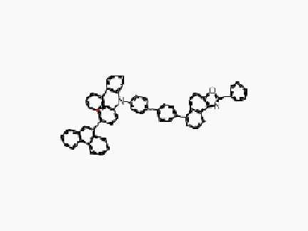 c1ccc(-c2nc3c(ccc4c(-c5ccc(-c6ccc(N(c7ccc(-c8cc9ccccc9c9ccccc89)cc7)c7ccccc7-c7ccccc7)cc6)cc5)cccc43)o2)cc1